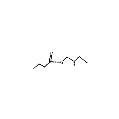 CCCC(=O)OCNCC